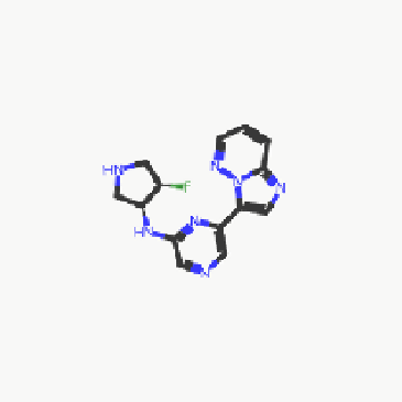 F[C@@H]1CNC[C@@H]1Nc1cncc(-c2cnc3cccnn23)n1